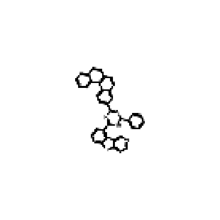 c1ccc(C2N=C(c3ccc4c(ccc5ccc6ccccc6c54)c3)N=C(c3cccc4oc5ccncc5c34)N2)cc1